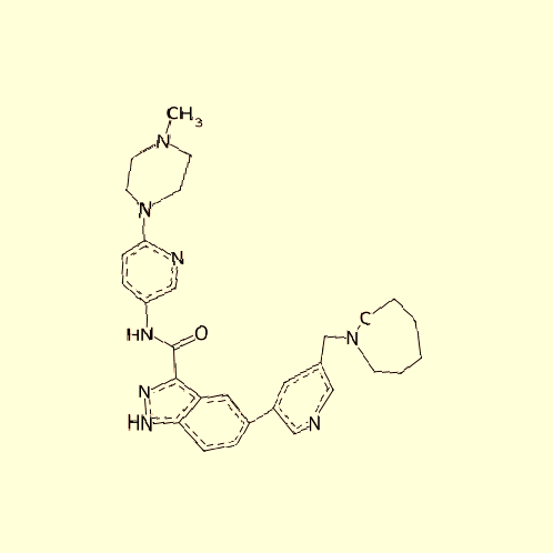 CN1CCN(c2ccc(NC(=O)c3n[nH]c4ccc(-c5cncc(CN6CCCCCC6)c5)cc34)cn2)CC1